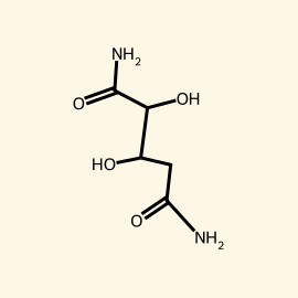 NC(=O)CC(O)C(O)C(N)=O